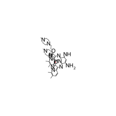 Cc1ccc2c(/N=C3\N/C(=N\c4c(OCCN5CCN(C)CC5)nn5c(C)c(C)ccc45)C(N)=CC3=N)c(OCCN3CCN(C)CC3)nn2c1C